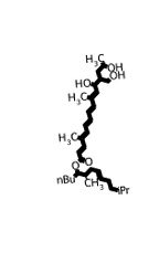 CCCCC(OC(=O)/C=C/C(C)=C/C=C/C=C/C(C)=C/C(O)C(CO)CC(C)O)[C@@H](C)C/C=C/CCC(C)C